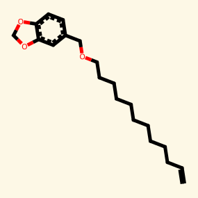 C=CCCCCCCCCCCOCc1ccc2c(c1)OCO2